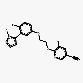 Cn1nccc1-c1cc(OCCOc2ncc(C#N)cc2F)ccc1F